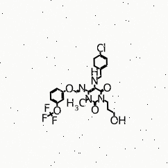 Cn1c(/N=C/Oc2cccc(OC(F)(F)F)c2)c(NCC2=CC=C(Cl)CC2)c(=O)n(CCCO)c1=O